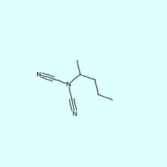 CCCC(C)N(C#N)C#N